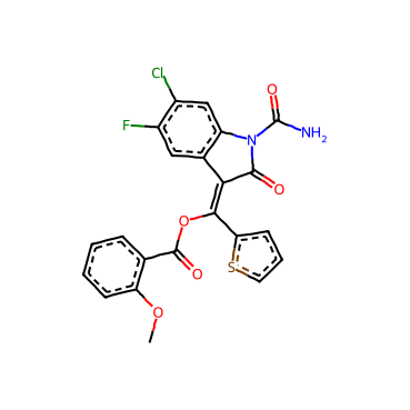 COc1ccccc1C(=O)OC(=C1C(=O)N(C(N)=O)c2cc(Cl)c(F)cc21)c1cccs1